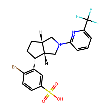 O=S(=O)(O)c1ccc(Br)c([C@@H]2CC[C@@H]3CN(c4cccc(C(F)(F)F)n4)C[C@@H]32)c1